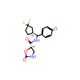 O=C1NC[C@@H](C(=O)NC(c2ccc(Cl)cc2)[C@H]2CCC(F)(F)C2)O1